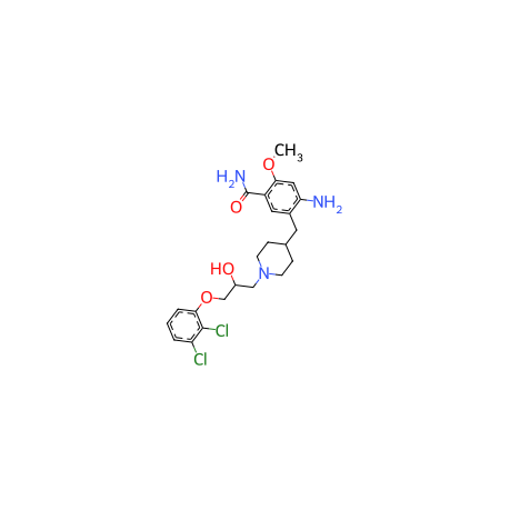 COc1cc(N)c(CC2CCN(CC(O)COc3cccc(Cl)c3Cl)CC2)cc1C(N)=O